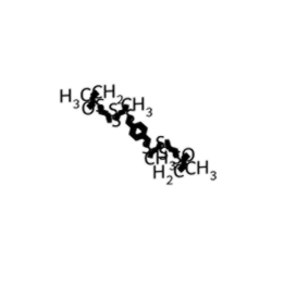 C=C(C)C(=O)SCC1CSC(C(C)SCc2ccc(CSC(C)C3SCC(CSC(=O)C(=C)C)S3)cc2)S1